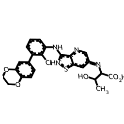 CC(O)C(N=c1cnc2c(Nc3cccc(-c4ccc5c(c4)OCCO5)c3Cl)[nH]sc-2c1)C(=O)O